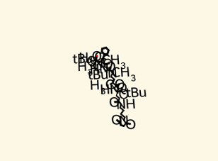 C/C(=C\CN(C)C(=O)C(NC(=O)[C@@H](N(C)C(=O)OC(C)(C)C)C(C)(C)c1ccccc1)C(C)(C)C)C(=O)N[C@H](CCC(=O)NCCCCN1C(=O)C=CC1=O)C(=O)OC(C)(C)C